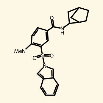 CNc1ccc(C(=O)NC2CC3CCC2C3)cc1S(=O)(=O)n1cc2ccccc2c1